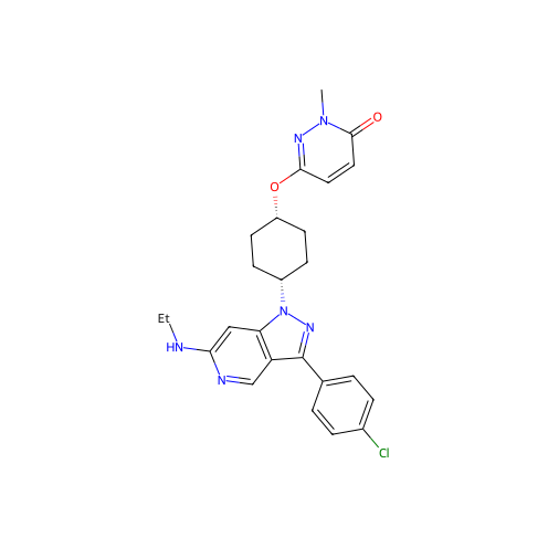 CCNc1cc2c(cn1)c(-c1ccc(Cl)cc1)nn2[C@H]1CC[C@@H](Oc2ccc(=O)n(C)n2)CC1